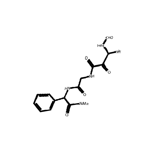 CCCC(NC=O)C(=O)C(=O)NCC(=O)NC(C(=O)NC)c1ccccc1